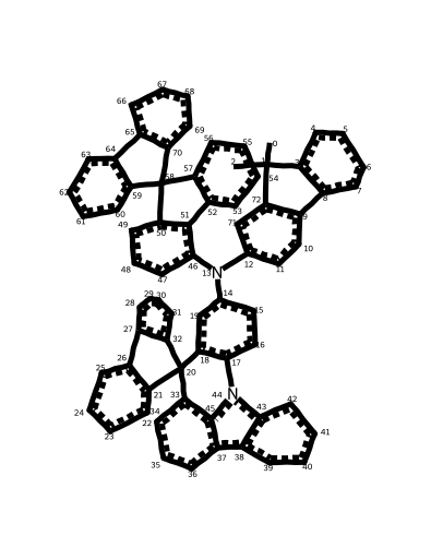 CC1(C)c2ccccc2-c2ccc(N(c3ccc4c(c3)C3(c5ccccc5-c5ccccc53)c3cccc5c6ccccc6n-4c35)c3cccc4c3-c3ccccc3C43c4ccccc4-c4ccccc43)cc21